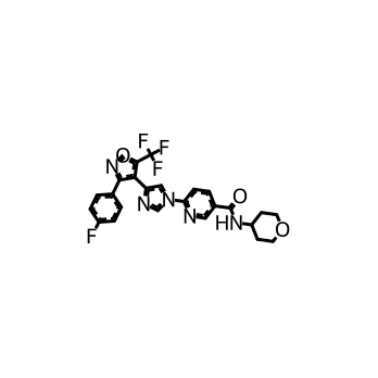 O=C(NC1CCOCC1)c1ccc(-n2cnc(-c3c(-c4ccc(F)cc4)noc3C(F)(F)F)c2)nc1